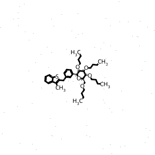 CCCCOC[C@H]1O[C@@H](c2cccc(Cc3sc4ccccc4c3C)c2)[C@H](OCCCC)[C@@H](OCCCC)[C@@H]1OCCCC